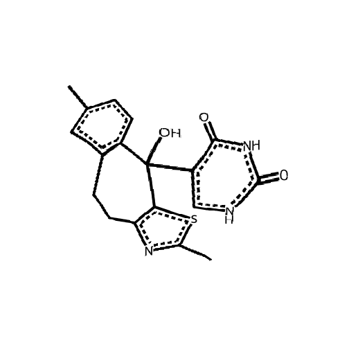 Cc1ccc2c(c1)CCc1nc(C)sc1C2(O)c1c[nH]c(=O)[nH]c1=O